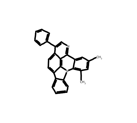 Cc1cc(C)c2c(c1)c1ncc(-c3ccccc3)c3ccc4c5ccccc5n2c4c31